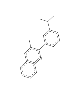 Cc1cc2ccccc2nc1-c1cccc(C(C)C)c1